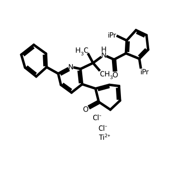 CC(C)c1cccc(C(C)C)c1C(=O)NC(C)(C)c1nc(-c2ccccc2)ccc1C1=CC=CCC1=O.[Cl-].[Cl-].[Ti+2]